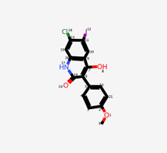 COc1ccc(-c2c(O)c3cc(I)c(Cl)cc3[nH]c2=O)cc1